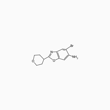 Nc1cc2oc(C3CCOCC3)nc2cc1Br